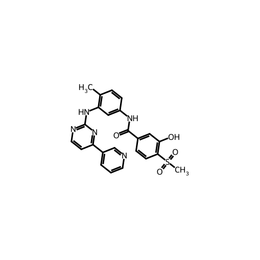 Cc1ccc(NC(=O)c2ccc(S(C)(=O)=O)c(O)c2)cc1Nc1nccc(-c2cccnc2)n1